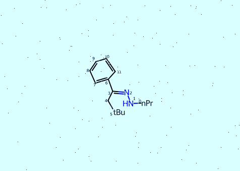 CCCNN=C(CC(C)(C)C)c1ccccc1